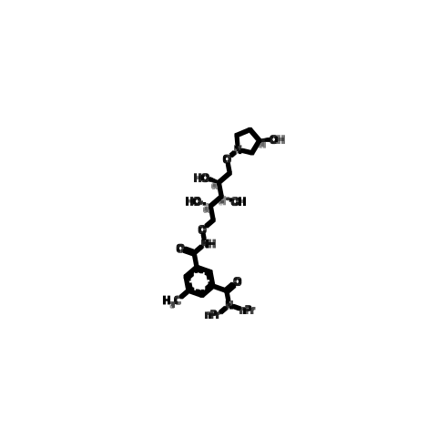 CCCN(CCC)C(=O)c1cc(C)cc(C(=O)NOC[C@H](O)[C@@H](O)[C@@H](O)CON2CC[C@@H](O)C2)c1